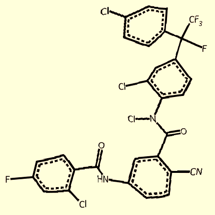 N#Cc1ccc(NC(=O)c2ccc(F)cc2Cl)cc1C(=O)N(Cl)c1ccc(C(F)(c2ccc(Cl)cc2)C(F)(F)F)cc1Cl